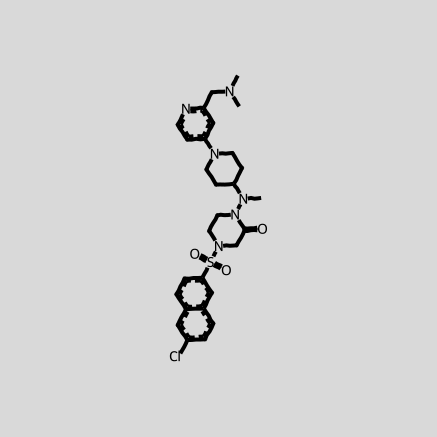 CN(C)Cc1cc(N2CCC(N(C)N3CCN(S(=O)(=O)c4ccc5cc(Cl)ccc5c4)CC3=O)CC2)ccn1